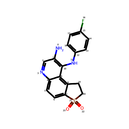 Nc1cnc2ccc3c(c2c1Nc1ccc(F)cc1)CCS3(=O)=O